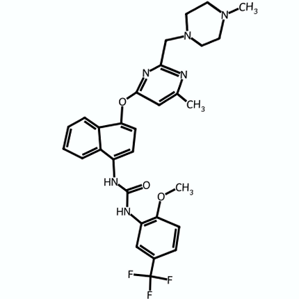 COc1ccc(C(F)(F)F)cc1NC(=O)Nc1ccc(Oc2cc(C)nc(CN3CCN(C)CC3)n2)c2ccccc12